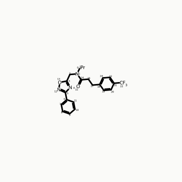 CC(C)N(Cc1nc(-c2ccccc2)no1)C(=O)CCc1ccc(C(F)(F)F)cc1